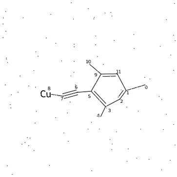 Cc1cc(C)c(C#[C][Cu])c(C)c1